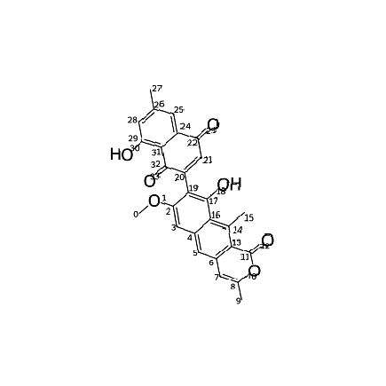 COc1cc2cc3cc(C)oc(=O)c3c(C)c2c(O)c1C1=CC(=O)c2cc(C)cc(O)c2C1=O